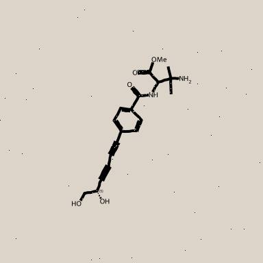 COC(=O)C(NC(=O)c1ccc(C#CC#C[C@H](O)CO)cc1)C(C)(C)N